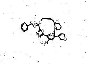 O=[N+]([O-])c1cc(C2=CCOC2)c2nc1-c1nnc(o1)C(OCc1ccccc1)(C(F)(F)F)CCC=CC[C@@H]1CCCN21